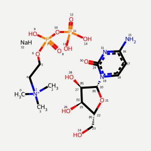 C[N+](C)(C)CCOP(=O)(O)OP(=O)(O)O.Nc1ccn([C@@H]2O[C@H](CO)[C@@H](O)[C@H]2O)c(=O)n1.[NaH]